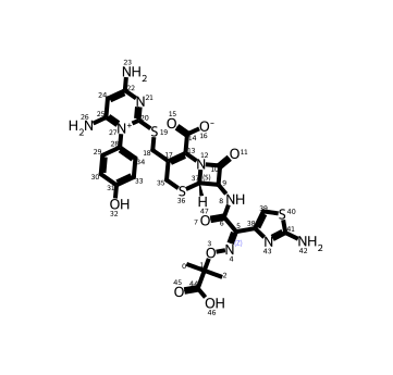 CC(C)(O/N=C(\C(=O)NC1C(=O)N2C(C(=O)[O-])=C(CSc3nc(N)cc(N)[n+]3-c3ccc(O)cc3)CS[C@@H]12)c1csc(N)n1)C(=O)O